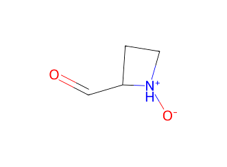 O=CC1CC[NH+]1[O-]